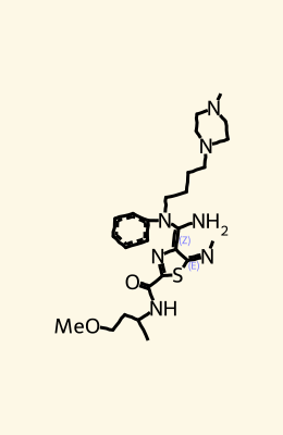 C/N=C1/SC(C(=O)NC(C)CCOC)=N/C1=C(/N)N(CCCCN1CCN(C)CC1)c1ccccc1